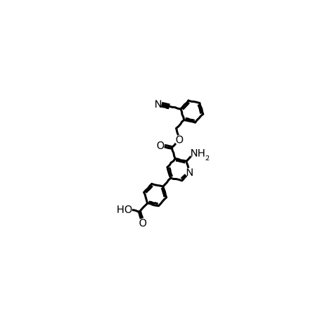 N#Cc1ccccc1COC(=O)c1cc(-c2ccc(C(=O)O)cc2)cnc1N